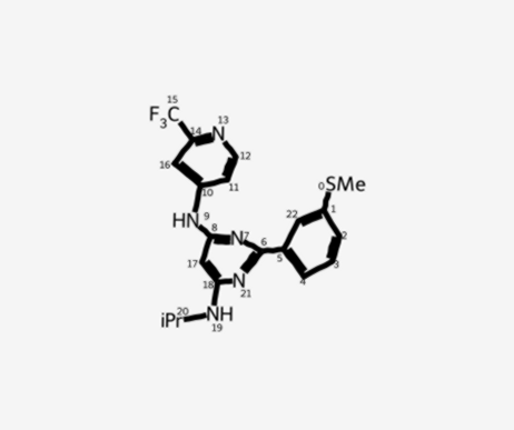 CSc1cccc(-c2nc(Nc3ccnc(C(F)(F)F)c3)cc(NC(C)C)n2)c1